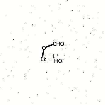 CCOC=O.[Li+].[OH-]